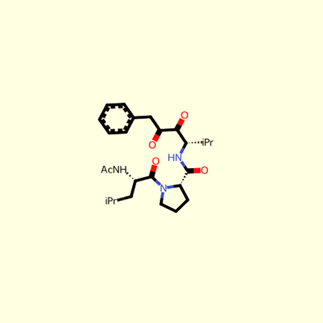 CC(=O)N[C@@H](CC(C)C)C(=O)N1CCC[C@H]1C(=O)N[C@H](C(=O)C(=O)Cc1ccccc1)C(C)C